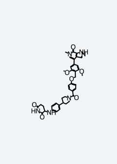 COc1cc(-c2cn(C)c(=O)c3[nH]ncc23)cc(OC)c1COc1ccc(C(=O)N2CCC(c3ccc(NC4CCC(=O)NC4=O)cc3)CC2)cc1